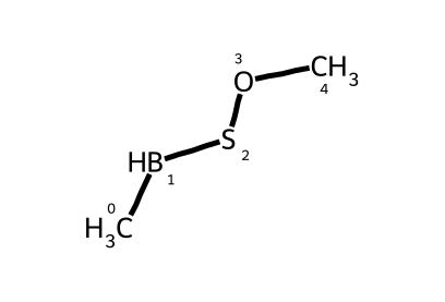 CBSOC